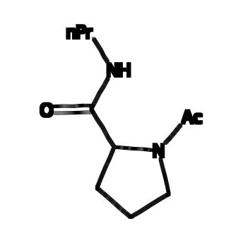 CCCNC(=O)C1CCCN1C(C)=O